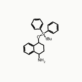 CC(C)(C)[Si](OC1CCC(N)c2ccccc21)(c1ccccc1)c1ccccc1